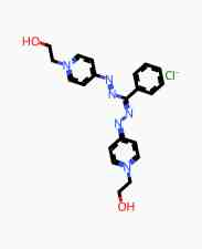 OCCn1ccc(=NN=C(N=Nc2cc[n+](CCO)cc2)c2ccccc2)cc1.[Cl-]